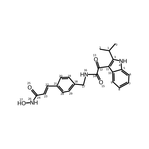 CC(C)c1[nH]c2ccccc2c1C(=O)C(=O)NCc1ccc(/C=C/C(=O)NO)cc1